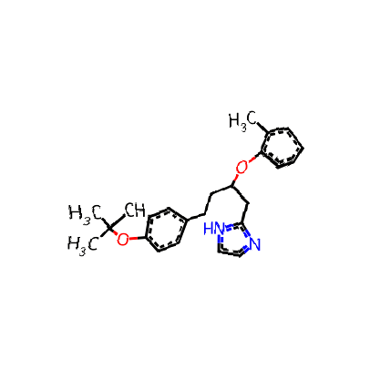 Cc1ccccc1OC(CCc1ccc(OC(C)(C)C)cc1)Cc1ncc[nH]1